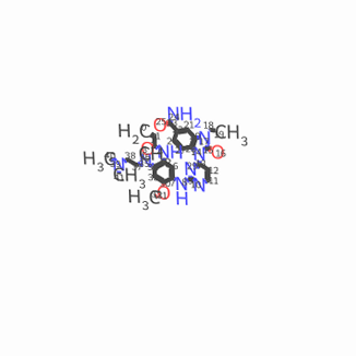 C=CC(=O)Nc1cc(Nc2nccc(-n3c(=O)n(CC)c4cc(C(N)=O)ccc43)n2)c(OC)cc1N(C)CCN(C)C